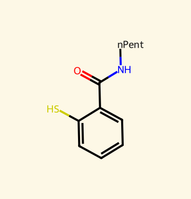 CCCCCNC(=O)c1ccccc1S